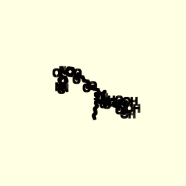 CCCCCCSS/C(CCOC(=O)CCCC(=O)O[C@H]1CC[C@H](N(C)C(=O)c2ccc3nonc3c2)CC1)=C(/C)N(C=O)CC(=O)OCC1OC(O)C(O)C(O)C1O